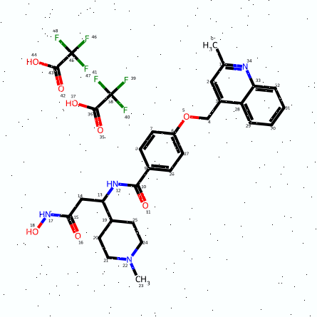 Cc1cc(COc2ccc(C(=O)NC(CC(=O)NO)C3CCN(C)CC3)cc2)c2ccccc2n1.O=C(O)C(F)(F)F.O=C(O)C(F)(F)F